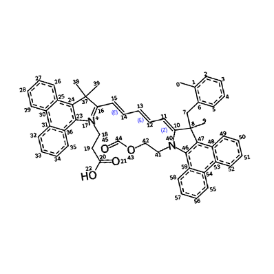 Cc1ccccc1CC1(C)/C(=C/C=C/C=C/C2=[N+](CCC(=O)O)c3c(c4ccccc4c4ccccc34)C2(C)C)N(CCOC=O)c2c1c1ccccc1c1ccccc21